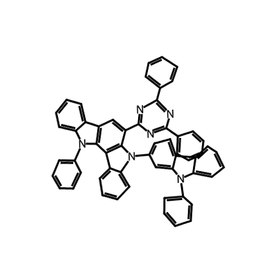 c1ccc(-c2nc(-c3ccccc3)nc(-c3cc4c5ccccc5n(-c5ccccc5)c4c4c5ccccc5n(-c5ccc6c7ccccc7n(-c7ccccc7)c6c5)c34)n2)cc1